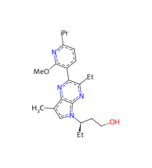 CCc1nc2c(nc1-c1ccc(C(C)C)nc1OC)c(C)cn2[C@H](CC)CCO